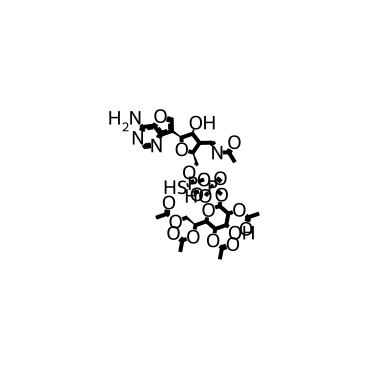 CC(=O)/N=C/C1[C@@H](O)[C@H](c2coc3c(N)ncnc23)O[C@@H]1COP(=O)(S)OP(=O)(O)OC1OC([C@H](COC(C)=O)OC(C)=O)C(OC(C)=O)C(O)C1OC(C)=O